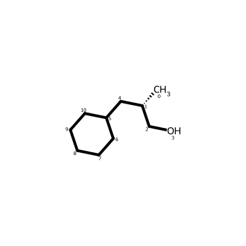 C[C@H](CO)CC1CCCCC1